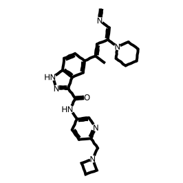 C=N/C=C(\C=C(/C)c1ccc2[nH]nc(C(=O)Nc3ccc(CN4CCC4)nc3)c2c1)N1CCCCC1